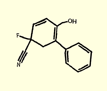 N#CC1(F)C=CC(O)=C(c2ccccc2)C1